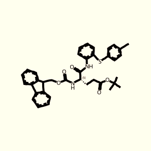 Cc1ccc(Sc2ccccc2NC(=O)[C@H](CCC(=O)OC(C)(C)C)NC(=O)OCC2c3ccccc3-c3ccccc32)cc1